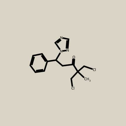 CC(CCl)(CCl)C(=O)CC(c1ccccc1)n1cncn1